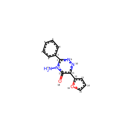 Nn1c(-c2ccccc2)nnc(-c2ccco2)c1=O